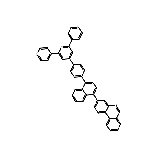 c1ccc2c(c1)cnc1cc(-c3ccc(-c4ccc(-c5cc(-c6ccncc6)nc(-c6ccncc6)c5)cc4)c4ccccc34)ccc12